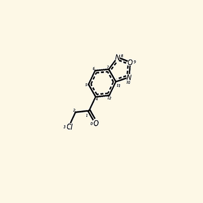 O=C(CCl)c1ccc2nonc2c1